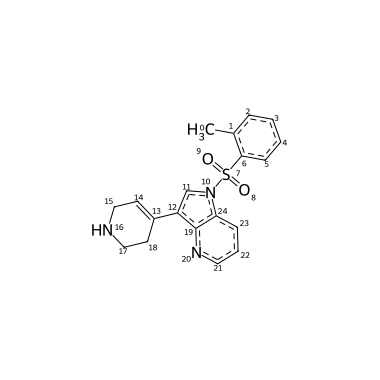 Cc1ccccc1S(=O)(=O)n1cc(C2=CCNCC2)c2ncccc21